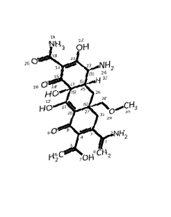 C=C(N)C1=C(C(=C)O)C(=O)C2=C(O)[C@]3(O)C(=O)C(C(N)=O)=C(O)[C@@H](N)[C@@H]3C[C@]2(COC)C1